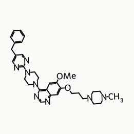 COc1cc2c(N3CCN(c4ncc(Cc5ccccc5)cn4)CC3)ncnc2cc1OCCCN1CCN(C)CC1